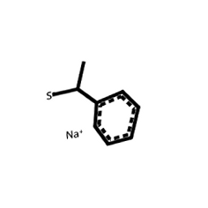 CC([S-])c1ccccc1.[Na+]